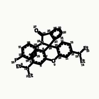 CCN(CC)c1ccc2c(c1)Oc1cc(N(CC)CC)ccc1C21c2ccccc2C(=O)N1c1ccc(F)cc1